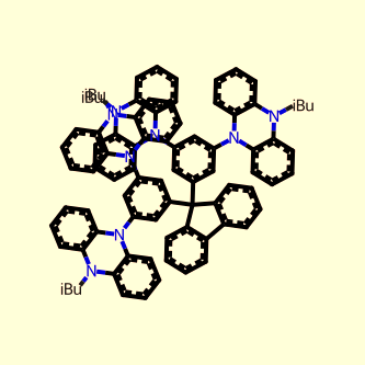 CCC(C)N1c2ccccc2N(c2cc(N3c4ccccc4N(C(C)CC)c4ccccc43)cc(C3(c4cc(N5c6ccccc6N(C(C)CC)c6ccccc65)cc(N5c6ccccc6N(C(C)CC)c6ccccc65)c4)c4ccccc4-c4ccccc43)c2)c2ccccc21